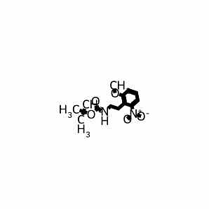 COc1cccc([N+](=O)[O-])c1CCNC(=O)OC(C)(C)C